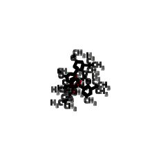 COc1cc(C(C)(C)C)c2op(Oc3c(-c4cc(C)cc(C(C)(C)C)c4OC(=O)OC(C)(C)C)cc(C)cc3C(C)(C)C)oc3c(C(C)(C)C)cc(OC)cc3c2c1